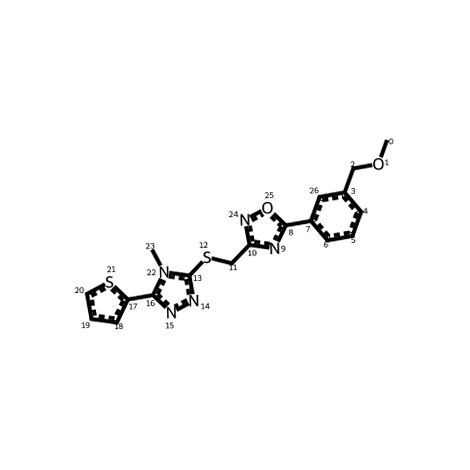 COCc1cccc(-c2nc(CSc3nnc(-c4cccs4)n3C)no2)c1